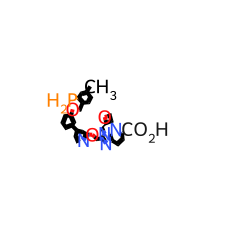 Cc1ccc(COc2cccc(-c3ccnc(OCc4nc5ccc(C(=O)O)nc5n4C[C@@H]4CCO4)c3)c2)c(P)c1